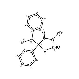 CCCOC(=O)C(O[C]=O)(c1ccccc1)C(CC)c1ccccc1